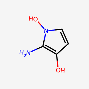 Nc1c(O)ccn1O